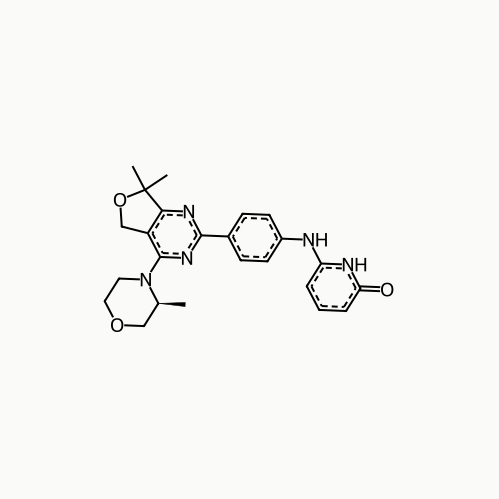 C[C@H]1COCCN1c1nc(-c2ccc(Nc3cccc(=O)[nH]3)cc2)nc2c1COC2(C)C